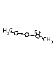 CCCc1ccc(C#Cc2ccc(C#Cc3ccc(CC)cc3)cc2)c(F)c1F